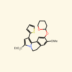 CCOC(=O)c1cc(-c2cccs2)c2n1CCc1cc(OC)c(OC3CCCCO3)cc1-2